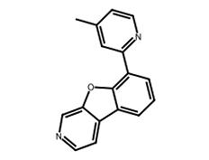 Cc1ccnc(-c2cccc3c2oc2cnccc23)c1